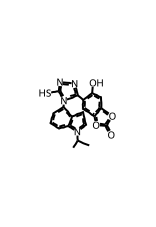 CC(C)n1ccc2c(-n3c(S)nnc3-c3cc4oc(=O)oc4cc3O)cccc21